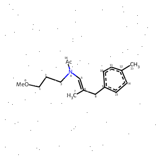 COCCCN(C=C(C)Cc1ccc(C)cc1)C(C)=O